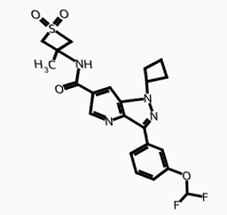 CC1(NC(=O)c2cnc3c(-c4cccc(OC(F)F)c4)nn(C4CCC4)c3c2)CS(=O)(=O)C1